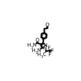 CC(n1nc(-c2ccc(CC=O)cc2)c(C(N)=O)c1N)C(F)(F)F